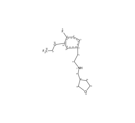 Fc1ccc(CCNCC2CCOC2)cc1OCC(F)(F)F